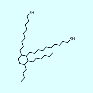 CCCCCCC1C(CCCC)CCC(CCCCCCCCCS)C1CCCCCCCCCCS